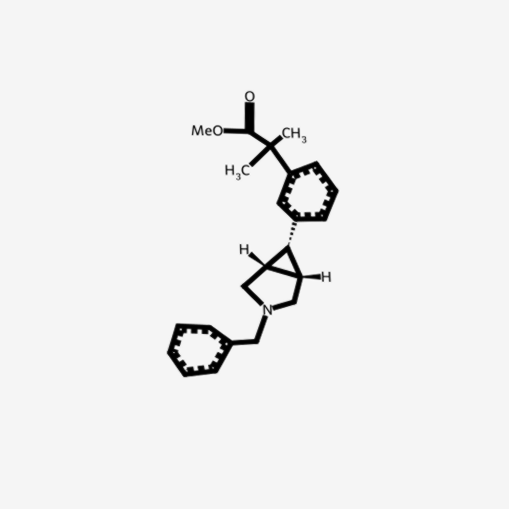 COC(=O)C(C)(C)c1cccc([C@@H]2[C@@H]3CN(Cc4ccccc4)C[C@@H]32)c1